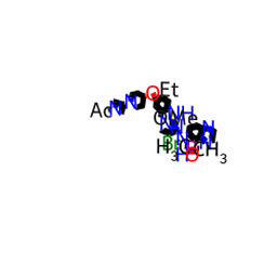 CCc1cc(Nc2ncc(Br)c(Nc3ccc4nccnc4c3P(C)(C)=O)n2)c(OC)cc1OC1CCN(C2CN(C(C)=O)C2)CC1